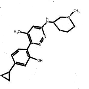 Cc1cc(NC2CCCN(C)C2)nnc1-c1ccc(C2CC2)cc1O